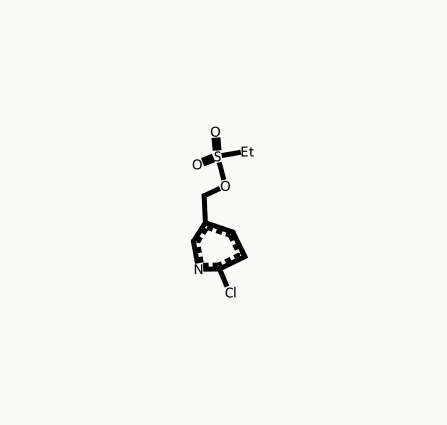 CCS(=O)(=O)OCc1ccc(Cl)nc1